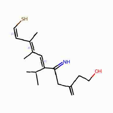 C=C(CCO)CC(=N)/C(=C/C(C)=C(C)/C=C\S)C(C)C